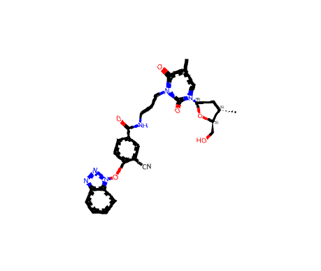 Cc1cn([C@H]2C[C@H](C)[C@@H](CO)O2)c(=O)n(CCCNC(=O)c2ccc(On3nnc4ccccc43)c(C#N)c2)c1=O